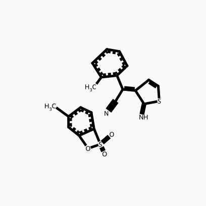 Cc1ccc2c(c1)OS2(=O)=O.Cc1ccccc1C(C#N)=C1C=CSC1=N